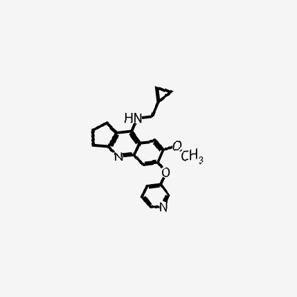 COc1cc2c(NCC3CC3)c3c(nc2cc1Oc1cccnc1)CCC3